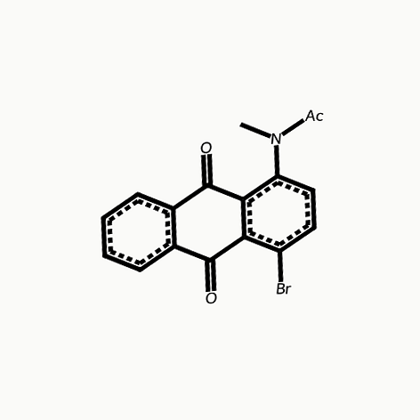 CC(=O)N(C)c1ccc(Br)c2c1C(=O)c1ccccc1C2=O